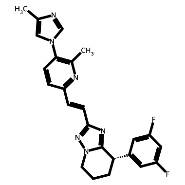 Cc1cn(-c2ccc(/C=C/c3nc4n(n3)CCC[C@H]4c3cc(F)cc(F)c3)nc2C)cn1